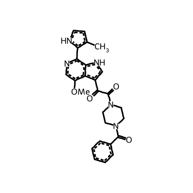 COc1cnc(-c2[nH]ccc2C)c2[nH]cc(C(=O)C(=O)N3CCN(C(=O)c4ccccc4)CC3)c12